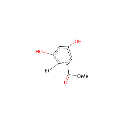 CCc1c(O)cc(O)cc1C(=O)OC